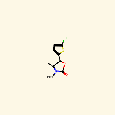 CCCC(C)N1C(=O)O[C@H](c2ccc(Cl)s2)[C@@H]1C